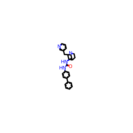 O=C(Nc1ccc(-c2ccccc2)cc1)NC1C2CCN(CC2)C1Cc1cccnc1